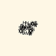 COc1cccc(N(C)S(=O)(=O)NC(=O)NC(Cc2cc(F)cc(F)c2)C(=O)N(C)c2ccc3scnc3c2)c1